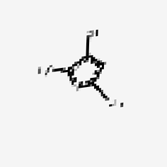 Cc1cc(O)c(C)o1